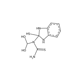 NC(=S)N(C(O)O)C1(S)Nc2ccccc2N1